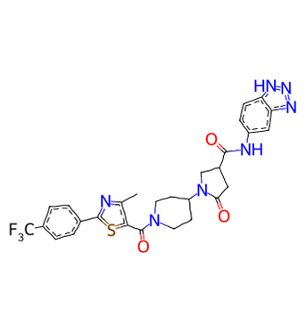 Cc1nc(-c2ccc(C(F)(F)F)cc2)sc1C(=O)N1CCC(N2CC(C(=O)Nc3ccc4[nH]nnc4c3)CC2=O)CC1